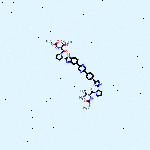 COC(=O)N[C@H](C(=O)N1CCC[C@H]1c1nc(-c2ccc(-c3cnc(-c4ccc5[nH]c([C@@H]6CCCN6C(=O)[C@@H](NC(=O)OC)[C@@H](C)OC)nc5c4)cn3)cc2)c[nH]1)C(C)C